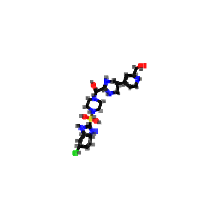 O=C(c1ncc(-c2ccnc(CO)c2)cn1)N1CCN(S(=O)(=O)c2nc3cc(Cl)ccc3[nH]2)CC1